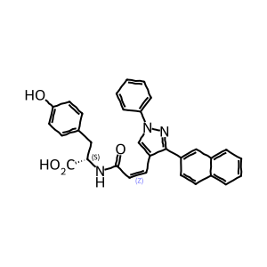 O=C(/C=C\c1cn(-c2ccccc2)nc1-c1ccc2ccccc2c1)N[C@@H](Cc1ccc(O)cc1)C(=O)O